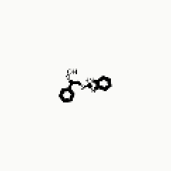 O/N=C(\CSc1nc2ccccc2[nH]1)c1ccccc1